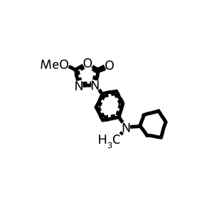 COc1nn(-c2ccc(N(C)C3CCCCC3)cc2)c(=O)o1